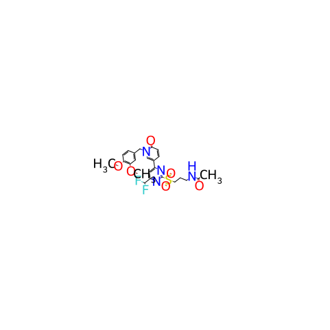 COc1ccc(Cn2cc(-c3cc(C(F)F)nc(S(=O)(=O)CCCNC(C)=O)n3)ccc2=O)cc1OC